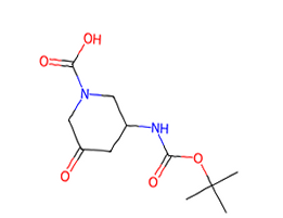 CC(C)(C)OC(=O)NC1CC(=O)CN(C(=O)O)C1